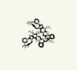 CC#CCn1c(N2CCC[C@@H](N)C2)nc2c1c(=O)n(CC1=NC(C)(Cc3nc(Cn4c(=O)c5c(nc(N6CCC[C@@H](N)C6)n5CC#CC)n(C)c4=O)nc4ccccc34)c3ccccc3N1)c(=O)n2C